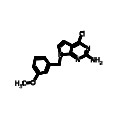 COc1cccc(Cn2ccc3c(Cl)nc(N)nc32)c1